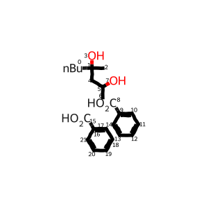 CCCCC(C)(O)CC(C)O.O=C(O)c1ccccc1.O=C(O)c1ccccc1